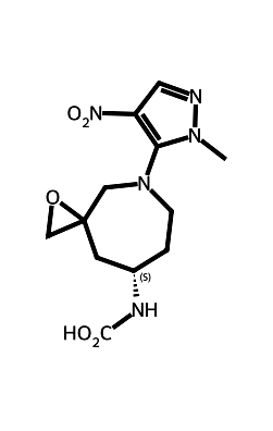 Cn1ncc([N+](=O)[O-])c1N1CC[C@H](NC(=O)O)CC2(CO2)C1